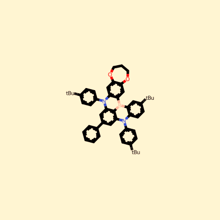 CC(C)(C)c1ccc(N2c3ccc(C(C)(C)C)cc3B3c4cc5c(cc4N(c4ccc(C(C)(C)C)cc4)c4cc(-c6ccccc6)cc2c43)OCCCO5)cc1